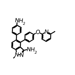 Cc1cccc(Oc2ccc(-c3c(-c4ccc(N)cc4)ccc4c3c(N)nn4C)cc2)n1